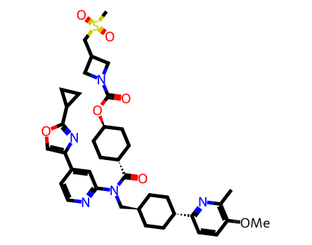 COc1ccc([C@H]2CC[C@H](CN(c3cc(-c4coc(C5CC5)n4)ccn3)C(=O)[C@H]3CC[C@H](OC(=O)N4CC(CS(C)(=O)=O)C4)CC3)CC2)nc1C